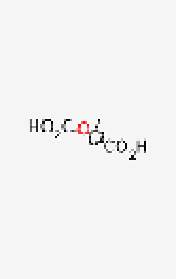 Cc1cc(C(=O)O)ccc1OCC(=O)O